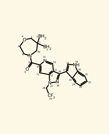 BC1(B)COCCN(C(=O)c2cc3c(cn2)c(-c2c[nH]c4ccccc24)nn3CC(F)(F)F)C1